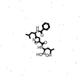 CC(C)CC(NC(=O)C1CC(C(CC(C)C)NC(=O)c2ccccc2)=NO1)B(O)O